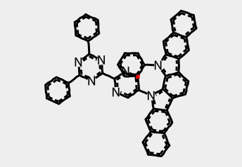 c1ccc(-c2nc(-c3ccccc3)nc(-c3ncc(-n4c5cc6ccccc6cc5c5ccc6c7cc8ccccc8cc7n(-c7ccccc7)c6c54)cn3)n2)cc1